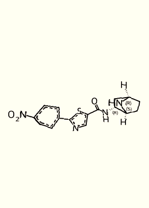 O=C(N[C@@H]1C[C@H]2CC[C@@H]1N2)c1cnc(-c2ccc([N+](=O)[O-])cc2)s1